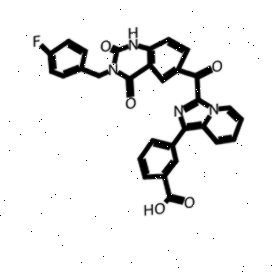 O=C(O)c1cccc(-c2nc(C(=O)c3ccc4[nH]c(=O)n(Cc5ccc(F)cc5)c(=O)c4c3)n3ccccc23)c1